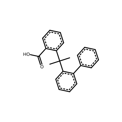 CC(C)(c1ccccc1C(=O)O)c1ccccc1-c1ccccc1